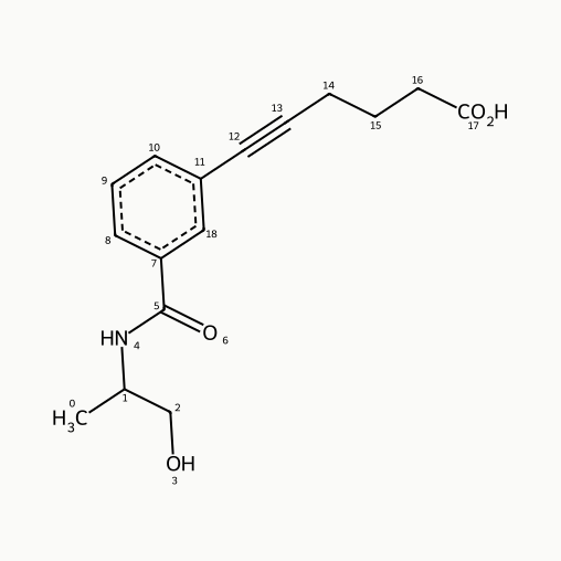 CC(CO)NC(=O)c1cccc(C#CCCCC(=O)O)c1